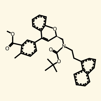 COC(=O)c1cc(C2=C[C@H](CN(CCc3cccc4ccccc34)C(=O)OC(C)(C)C)Oc3ccccc32)ccc1C